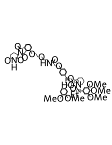 CC[C@H](C(=O)N1CCCC[C@H]1C(O)O[C@H](CCc1ccc(OC)c(OC)c1)c1ccc(OCC(=O)NCCOCCOc2cccc3c2C(=O)N(C2CCC(=O)NC2=O)C3=O)cc1)c1cc(OC)c(OC)c(OC)c1